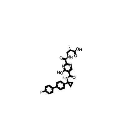 C[C@@H](CNC(=O)c1ncc(C(=O)NC2(c3ccc(-c4ccc(F)cc4)cc3)CC2)c(O)n1)C(=O)O